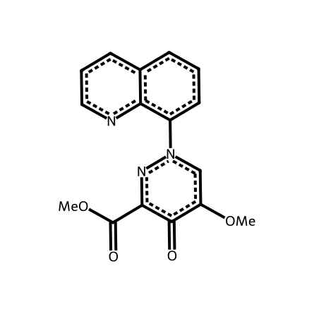 COC(=O)c1nn(-c2cccc3cccnc23)cc(OC)c1=O